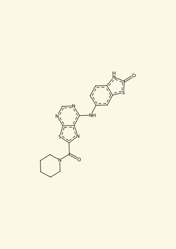 O=C(c1nc2c(Nc3ccc4[nH]c(=O)sc4c3)ncnc2s1)N1CCCCC1